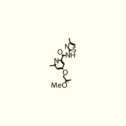 CO[C@H](C)COc1cc(C)nc(C(=O)Nc2nc(C)cs2)c1